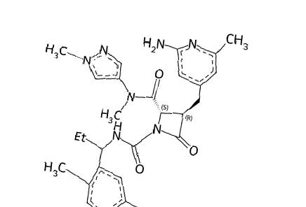 CCC(NC(=O)N1C(=O)[C@H](Cc2cc(C)nc(N)c2)[C@H]1C(=O)N(C)c1cnn(C)c1)c1cc(C)ccc1C